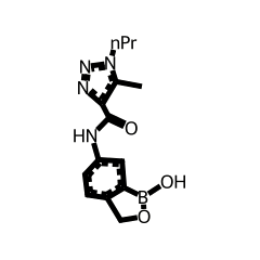 CCCn1nnc(C(=O)Nc2ccc3c(c2)B(O)OC3)c1C